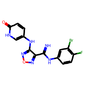 N=C(Nc1ccc(F)c(Br)c1)c1nonc1Nc1ccc(=O)[nH]c1